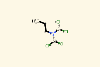 CCCN([SiH](Cl)Cl)[SiH](Cl)Cl